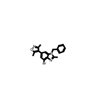 Cc1noc(C)c1-c1cc(Br)c2nc(C)n(Cc3ccccc3)c2c1